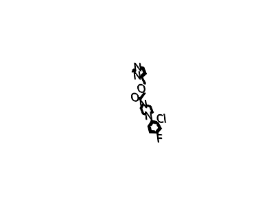 O=C(COCc1ccncn1)N1CCN(c2ccc(F)cc2Cl)CC1